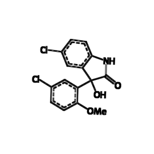 COc1ccc(Cl)cc1C1(O)C(=O)Nc2ccc(Cl)cc21